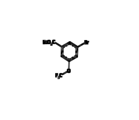 CCOC(=O)c1cc(Br)cc(OC(F)(F)F)c1